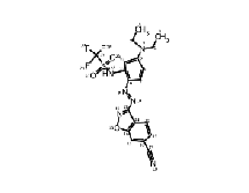 CCN(CC)c1ccc(N=Nc2noc3cc(C#N)ccc23)c(NS(=O)(=O)C(F)(F)F)c1